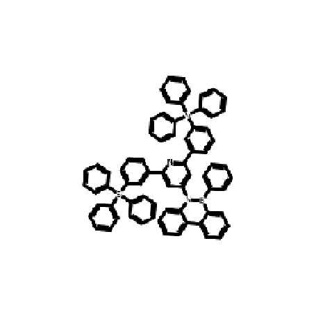 c1ccc(B2c3ccccc3-c3ccccc3N2c2cc(-c3cccc([Si](c4ccccc4)(c4ccccc4)c4ccccc4)c3)nc(-c3cccc([Si](c4ccccc4)(c4ccccc4)c4ccccc4)c3)c2)cc1